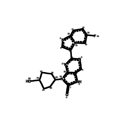 O=c1[nH]c2cnc(-c3cnc4ccc(F)cn34)nc2n1C1CCC(O)CC1